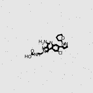 Nc1nc2cc(-c3ccnn3C3CCCCO3)c(Cl)cc2c2cn(CCNC(=O)O)nc12